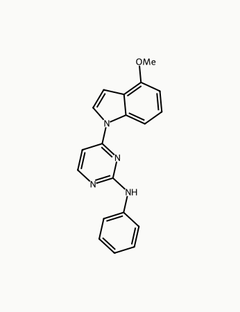 COc1cccc2c1ccn2-c1ccnc(Nc2ccccc2)n1